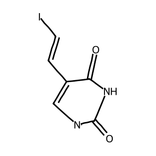 O=C1[N]C=C(C=CI)C(=O)N1